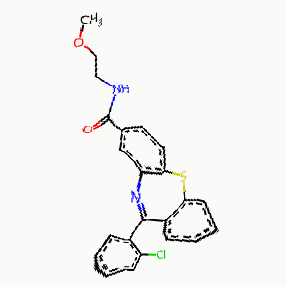 COCCNC(=O)c1ccc2c(c1)N=C(c1ccccc1Cl)c1ccccc1S2